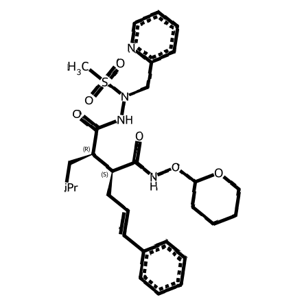 CC(C)C[C@@H](C(=O)NN(Cc1ccccn1)S(C)(=O)=O)[C@H](CC=Cc1ccccc1)C(=O)NOC1CCCCO1